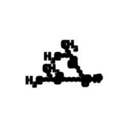 CCCCCC(CCCCC)CCOC(=O)CCCCCCCCCC(CCCCCCCC(=O)OCCC(CCCCC)CCCCC)C(=O)OCCCN1CCCC1